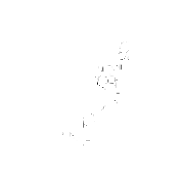 CC(C)(C)N(CCN1CCN(CC=CC(=O)N2CCC[C@@H](n3nc(C(=O)Nc4nc5ccccc5o4)c4c(N)ncnc43)C2)CC1)C(=O)O